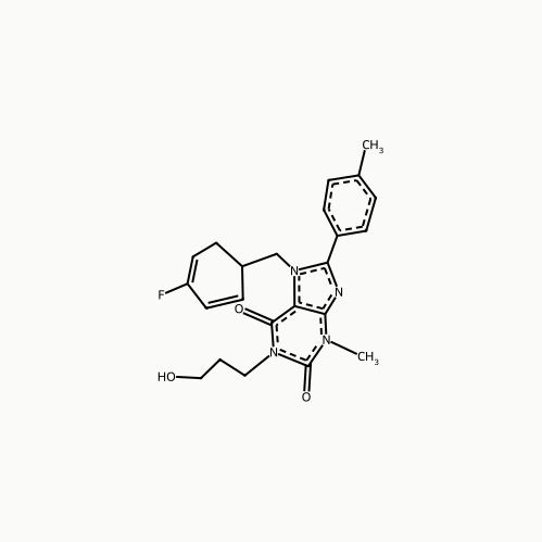 Cc1ccc(-c2nc3c(c(=O)n(CCCO)c(=O)n3C)n2CC2C=CC(F)=CC2)cc1